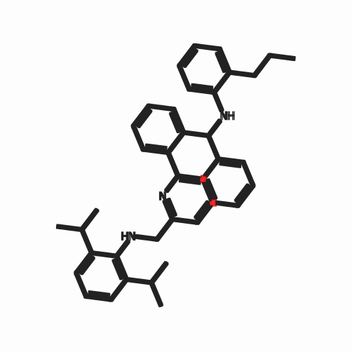 CCCc1ccccc1NC(c1ccccc1)c1ccccc1-c1cccc(CNc2c(C(C)C)cccc2C(C)C)n1